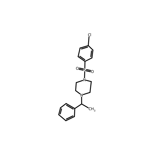 CC(c1ccccc1)N1CCN(S(=O)(=O)c2ccc(Cl)cc2)CC1